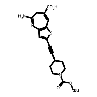 CC(C)(C)OC(=O)N1CCC(C#Cc2cc3c(s2)C=C(C(=O)O)CC(N)=N3)CC1